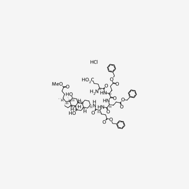 COC(=O)CC[C@@H](C)[C@H]1CC[C@H]2[C@@H]3[C@H](O)C[C@@H]4C[C@@H](NC(=O)[C@H](CCC(=O)OCc5ccccc5)NC(=O)[C@H](CCC(=O)OCc5ccccc5)NC(=O)[C@H](CCC(=O)OCc5ccccc5)NC(=O)[C@@H](N)CCC(=O)O)CC[C@]4(C)[C@H]3C[C@H](O)[C@]12C.Cl